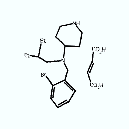 CCC(CC)CN(Cc1ccccc1Br)C1CCNCC1.O=C(O)C=CC(=O)O